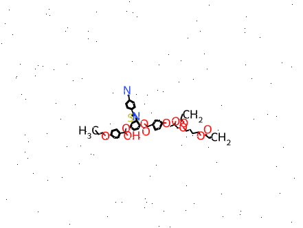 C=CC(=O)OCCCCOCC(COc1ccc(C(=O)Oc2ccc(OC(O)c3ccc(OCCC)cc3)c3sc(-c4ccc(C#N)cc4)nc23)cc1)OC(=O)C=C